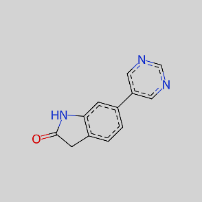 O=C1Cc2ccc(-c3cncnc3)cc2N1